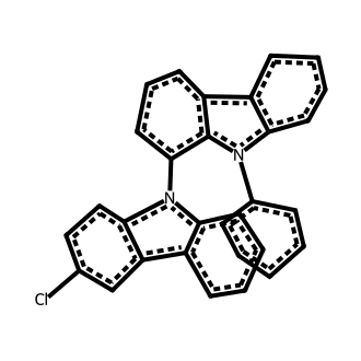 Clc1ccc2c(c1)c1ccccc1n2-c1cccc2c3ccccc3n(-c3ccccc3)c12